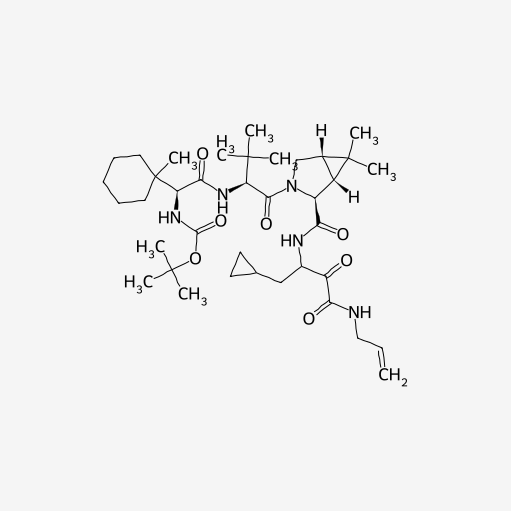 C=CCNC(=O)C(=O)C(CC1CC1)NC(=O)[C@@H]1[C@@H]2[C@H](CN1C(=O)[C@@H](NC(=O)[C@@H](NC(=O)OC(C)(C)C)C1(C)CCCCC1)C(C)(C)C)C2(C)C